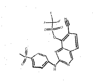 CS(=O)(=O)c1ccc(Nc2ncc3ccc(C#N)c(OS(=O)(=O)C(F)(F)F)c3n2)cc1